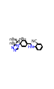 CCC[CH2][Sn]([CH2]CCC)([CH2]CCC)[C]1(n2cnnc2)C=CC(CNc2ccccc2C#N)=CC1